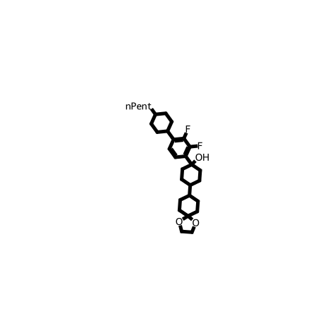 CCCCCC1CCC(c2ccc(C3(O)CCC(C4CCC5(CC4)OCCO5)CC3)c(F)c2F)CC1